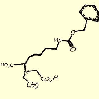 O=CCN(CC(=O)O)C(CCCCNC(=O)OCc1ccccc1)C(=O)O